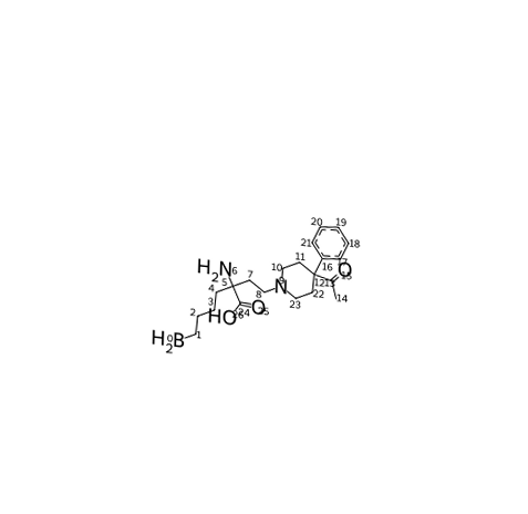 BCCCCC(N)(CCN1CCC(C(C)=O)(c2ccccc2)CC1)C(=O)O